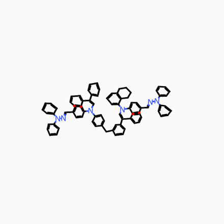 C(=C(c1ccccc1)c1ccccc1)N(c1ccc(/C=N/N(c2ccccc2)c2ccccc2)cc1)c1ccc(Cc2cccc(/C(=C/N(c3ccc(/C=N/N(c4ccccc4)c4ccccc4)cc3)c3cccc4c3CCCC4)c3ccccc3)c2)cc1